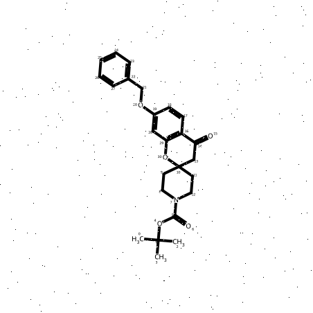 CC(C)(C)OC(=O)N1CCC2(CC1)CC(=O)c1ccc(OCc3ccccc3)cc1O2